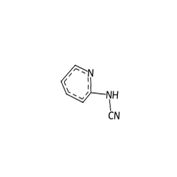 N#CNc1ccccn1